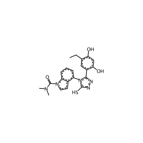 CCc1cc(-c2nnc(S)n2-c2cccc3c2ccn3C(=O)N(C)C)c(O)cc1O